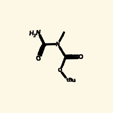 CN(C(N)=O)C(=O)OC(C)(C)C